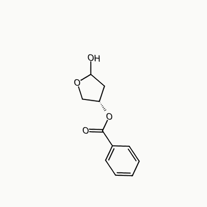 O=C(O[C@@H]1COC(O)C1)c1ccccc1